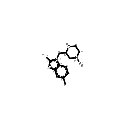 [2H]c1nc2cc(C)ccc2n1CC1CN(C(C)=O)CCO1